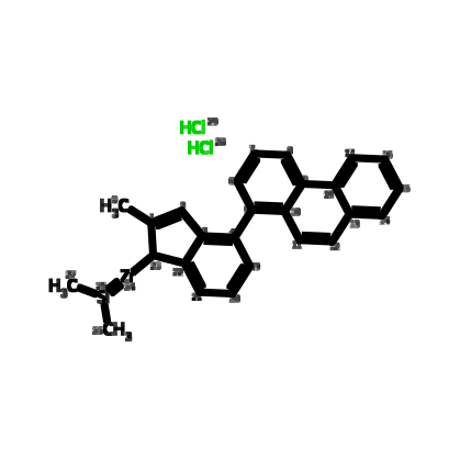 CC1=Cc2c(-c3cccc4c3ccc3ccccc34)cccc2[CH]1[Zr]=[Si](C)C.Cl.Cl